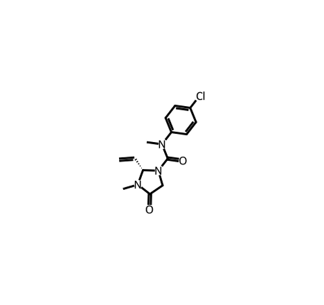 C=C[C@H]1N(C)C(=O)CN1C(=O)N(C)c1ccc(Cl)cc1